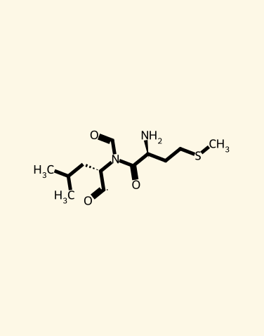 CSCC[C@H](N)C(=O)N(C=O)[C@H]([C]=O)CC(C)C